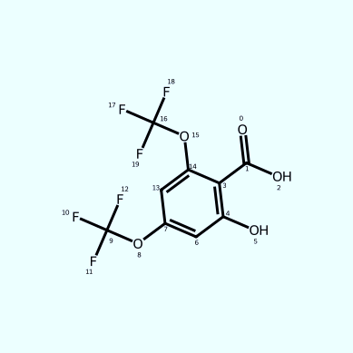 O=C(O)c1c(O)cc(OC(F)(F)F)cc1OC(F)(F)F